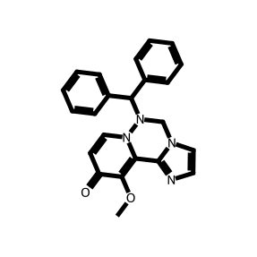 COc1c2n(ccc1=O)N(C(c1ccccc1)c1ccccc1)Cn1ccnc1-2